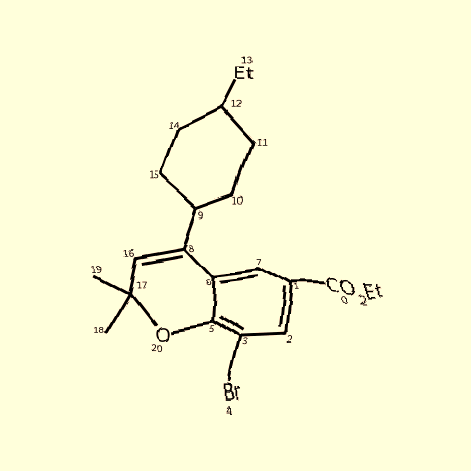 CCOC(=O)c1cc(Br)c2c(c1)C(C1CCC(CC)CC1)=CC(C)(C)O2